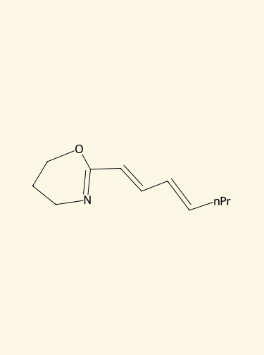 CCCC=CC=CC1=NCCCO1